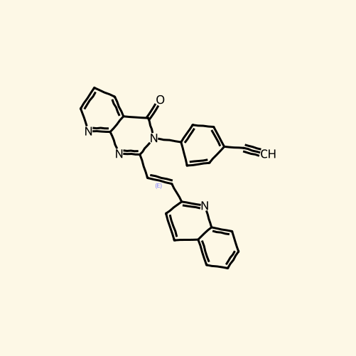 C#Cc1ccc(-n2c(/C=C/c3ccc4ccccc4n3)nc3ncccc3c2=O)cc1